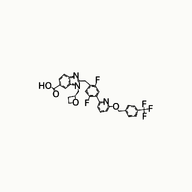 O=C(O)c1ccc2nc(Cc3cc(F)c(-c4cccc(OCc5ccc(C(F)(F)F)cc5)n4)cc3F)n(C[C@@H]3CCO3)c2c1